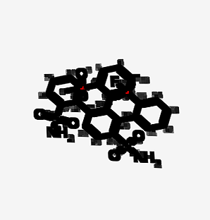 CS(=O)(=O)c1ccccc1-c1c(-c2ccccc2S(N)(=O)=O)c[c]c(S(N)(=O)=O)c1-c1ccccc1C(F)(F)F